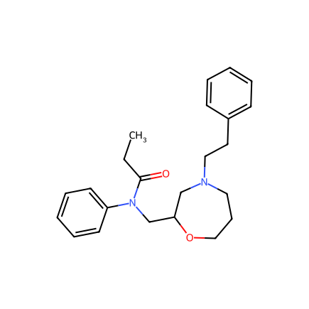 CCC(=O)N(CC1CN(CCc2ccccc2)CCCO1)c1ccccc1